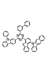 c1ccc(-c2cccc(-c3nc(-c4ccc5c6ccccc6n(-c6ccccc6)c5c4)nc(-c4ccc(-n5c6ccccc6c6cc7ccccc7cc65)c5c4sc4ccccc45)n3)c2)cc1